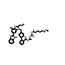 C=NOCCCC[C@H](C)OC(=O)OC(C)OC(=O)c1ccccc1-c1ccc(Cn2c(CCC)nc3c(C)cc(-c4nc5ccccc5n4C)cc32)cc1